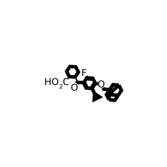 O=C(O)[C@@H]1CCCC[C@H]1C(=O)c1cc(C2CC2)c(OCC23CC4CC(CC(C4)C2)C3)cc1F